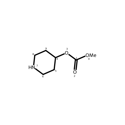 COC(=O)OC1CCNCC1